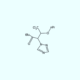 CCCOC(C(C(=O)C(C)(C)C)n1cncn1)C(Cl)(Cl)Cl